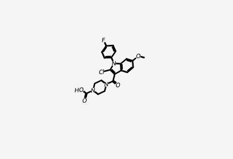 COc1ccc2c(C(=O)N3CCN(C(=O)O)CC3)c(Cl)n(-c3ccc(F)cc3)c2c1